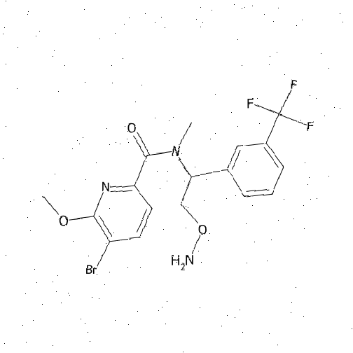 COc1nc(C(=O)N(C)C(CON)c2cccc(C(F)(F)F)c2)ccc1Br